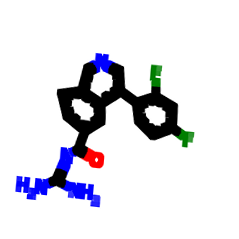 NC(N)=NC(=O)c1ccc2cncc(-c3ccc(F)cc3F)c2c1